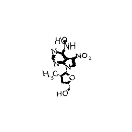 C[C@H]1C[C@@H](CO)O[C@H]1n1cc([N+](=O)[O-])c2c(NO)ncnc21